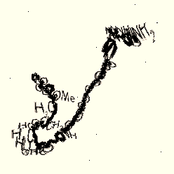 COC(CC1CCCC(C(=O)C(=O)N2CCCCC2)O1)/C(C)=C/C=C/C=C/C(C)CC(C)C(=O)CC(O)/C(C)=C/C(C)C(=O)CC(CCC1CCC(NCCOCCOCCOCCOCCOCCOCCOCCOCC(=O)N2CCc3cc(Cn4nc(-c5ccc6oc(N)nc6c5)c5c(N)ncnc54)ccc3C2)CC1)OC=O